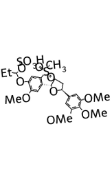 CCC(Oc1cc(S(C)(=O)=O)c([C@@H]2CC[C@@H](c3cc(OC)c(OC)c(OC)c3)O2)cc1OC)OS(=O)(=O)O